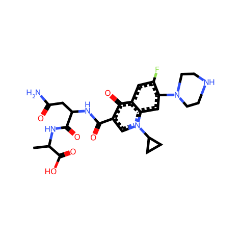 CC(NC(=O)C(CC(N)=O)NC(=O)c1cn(C2CC2)c2cc(N3CCNCC3)c(F)cc2c1=O)C(=O)O